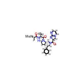 CN[C@@H](C)C(=O)N[C@H](C(=O)N1CCC[C@H]1CN(CCc1ccccc1)C(=O)C1CN2C=CC=NC2=N1)C(C)(C)C